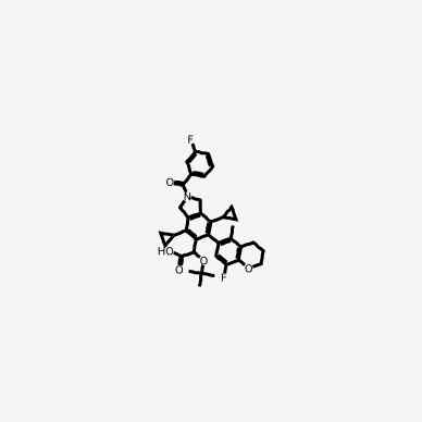 Cc1c(-c2c(C3CC3)c3c(c(C4CC4)c2C(OC(C)(C)C)C(=O)O)CN(C(=O)c2cccc(F)c2)C3)cc(F)c2c1CCCO2